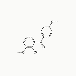 COc1ccc(C(=O)c2cccc(OC)c2O)cc1